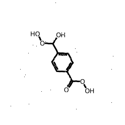 O=C(OO)c1ccc(C(O)OO)cc1